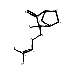 C=C1C2CCC(C2)C1(C)CCC=C(C)C